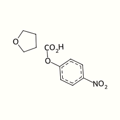 C1CCOC1.O=C(O)Oc1ccc([N+](=O)[O-])cc1